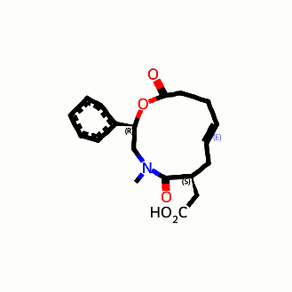 CN1C[C@@H](c2ccccc2)OC(=O)CC/C=C/C[C@@H](CC(=O)O)C1=O